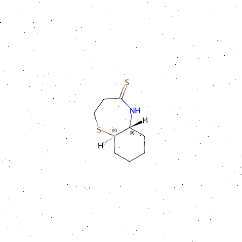 S=C1CCS[C@@H]2CCCC[C@H]2N1